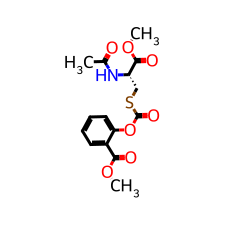 COC(=O)c1ccccc1OC(=O)SC[C@H](NC(C)=O)C(=O)OC